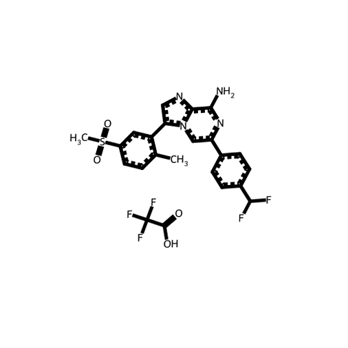 Cc1ccc(S(C)(=O)=O)cc1-c1cnc2c(N)nc(-c3ccc(C(F)F)cc3)cn12.O=C(O)C(F)(F)F